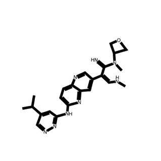 CN/C=C(\C(=N)N(C)C1COC1)c1cnc2ccc(Nc3cc(C(C)C)cnn3)nc2c1